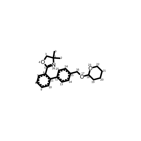 CC1(C)COC(c2ccccc2-c2ccc(COC3CCCCO3)cc2)=N1